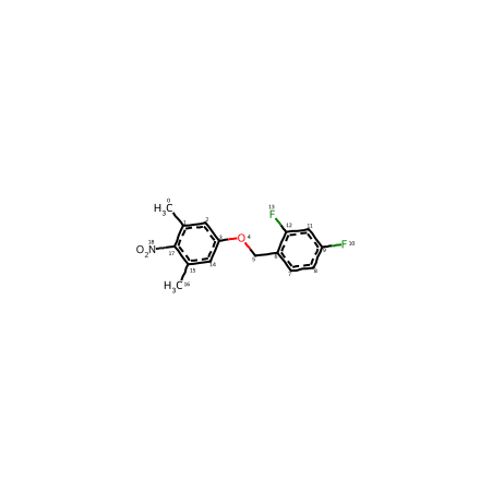 Cc1cc(OCc2ccc(F)cc2F)cc(C)c1[N+](=O)[O-]